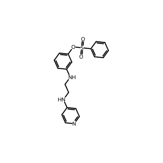 O=S(=O)(Oc1cccc(NCCNc2ccncc2)c1)c1ccccc1